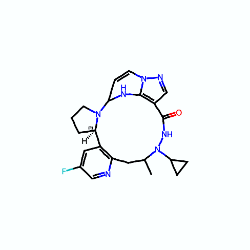 CC1Cc2ncc(F)cc2[C@H]2CCCN2C2C=Cn3ncc(c3N2)C(=O)NN1C1CC1